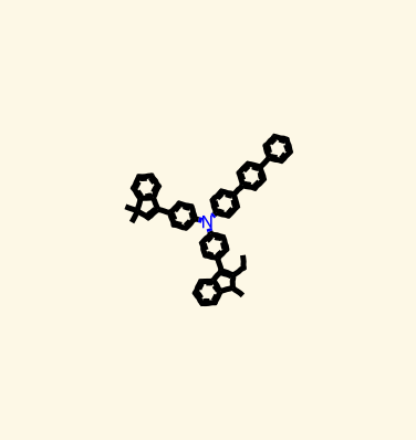 CCC1=C(c2ccc(N(c3ccc(C4=CC(C)(C)c5ccccc54)cc3)c3ccc(-c4ccc(-c5ccccc5)cc4)cc3)cc2)c2ccccc2C1C